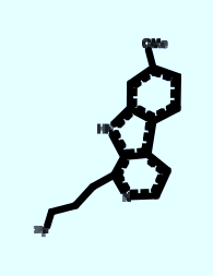 COc1ccc2c(c1)[nH]c1c(CCC[18F])nccc12